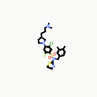 Cc1ccc(CN(c2nccs2)S(=O)(=O)c2cc(Cl)c(N3CCC(CCCN(C)C)C3)cc2F)cc1C